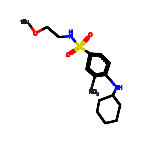 CC(C)(C)OCCNS(=O)(=O)c1ccc(NC2CCCCC2)c([N+](=O)[O-])c1